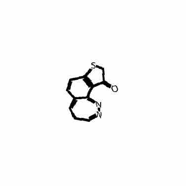 O=C1CSc2ccc3c(c21)=NN=CCC=3